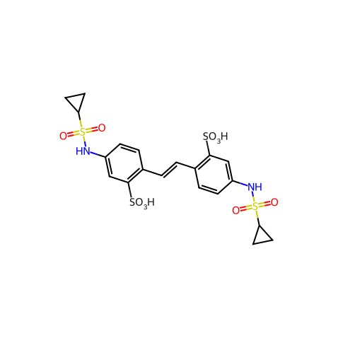 O=S(=O)(O)c1cc(NS(=O)(=O)C2CC2)ccc1C=Cc1ccc(NS(=O)(=O)C2CC2)cc1S(=O)(=O)O